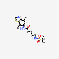 Cc1cc(NC(=O)CCCCNS(=O)(=O)C(C)C)c(C)c2scnc12